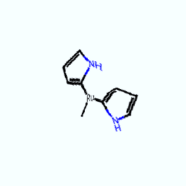 [CH3][Ru]([c]1ccc[nH]1)[c]1ccc[nH]1